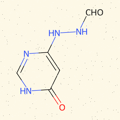 O=CNNc1cc(=O)[nH]cn1